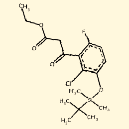 CCOC(=O)CC(=O)c1c(F)ccc(O[Si](C)(C)C(C)(C)C)c1Cl